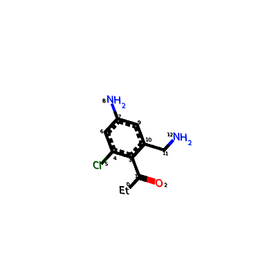 CCC(=O)c1c(Cl)cc(N)cc1CN